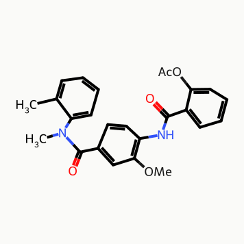 COc1cc(C(=O)N(C)c2ccccc2C)ccc1NC(=O)c1ccccc1OC(C)=O